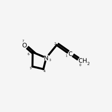 C=C=CN1CCC1=O